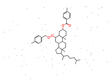 Cc1ccc(COOC2CC3C4CCC(C(C)CCCC(C)C)C4(C)CCC3C3(C)CCC(OC(=O)c4ccc(C)cc4)CC23)cc1